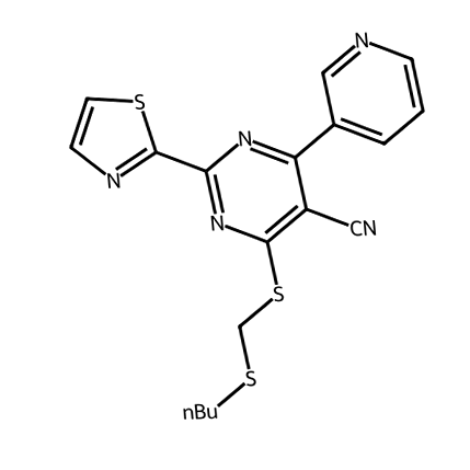 CCCCSCSc1nc(-c2nccs2)nc(-c2cccnc2)c1C#N